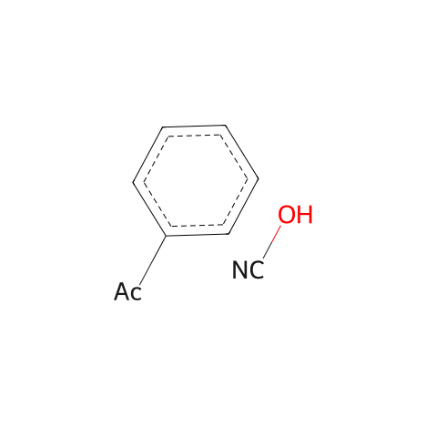 CC(=O)c1ccccc1.N#CO